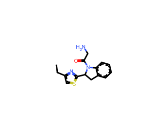 CCc1csc(C2Cc3ccccc3N2C(=O)CN)n1